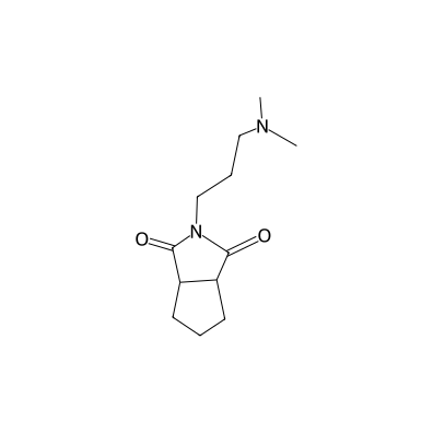 CN(C)CCCN1C(=O)C2CCCC2C1=O